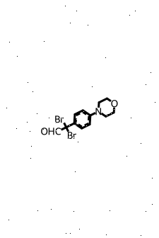 O=CC(Br)(Br)c1ccc(N2CCOCC2)cc1